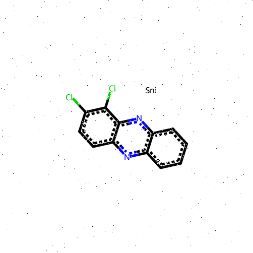 Clc1ccc2nc3ccccc3nc2c1Cl.[Sn]